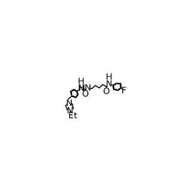 CCN1CCN(Cc2ccc(NC(=O)NCCCCC(=O)Nc3ccc(F)cc3)cc2)CC1